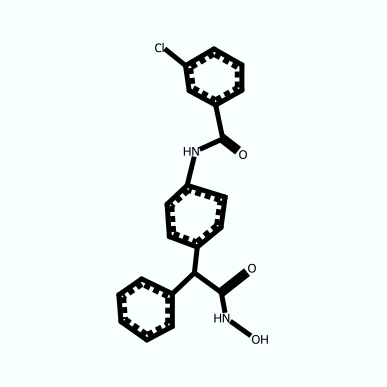 O=C(Nc1ccc(C(C(=O)NO)c2ccccc2)cc1)c1cccc(Cl)c1